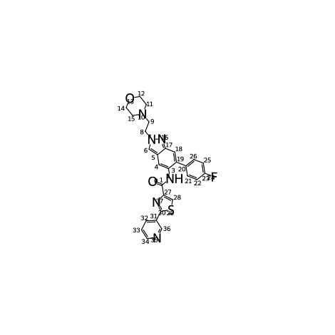 O=C(Nc1cc2cn(CCN3CCOCC3)nc2cc1-c1ccc(F)cc1)c1csc(-c2cccnc2)n1